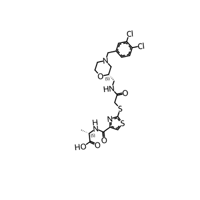 C[C@H](NC(=O)c1csc(SCC(=O)NC[C@H]2CN(Cc3ccc(Cl)c(Cl)c3)CCO2)n1)C(=O)O